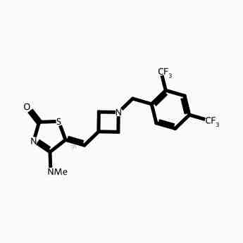 CNC1=NC(=O)S/C1=C\C1CN(Cc2ccc(C(F)(F)F)cc2C(F)(F)F)C1